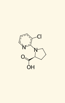 O=C(O)[C@@H]1CCCN1c1ncccc1Cl